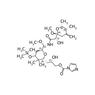 C=C1C[C@](OC)([C@H](O)C(=O)N[C@@H](OC)[C@@H]2CC(O[Si](C)(C)C)C(C)(C)[C@@H](C[C@H](O)COC(=O)n3ccnc3)O2)O[C@H](C)[C@@H]1C